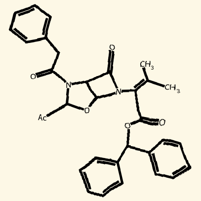 CC(=O)C1OC2C(C(=O)N2C(C(=O)OC(c2ccccc2)c2ccccc2)=C(C)C)N1C(=O)Cc1ccccc1